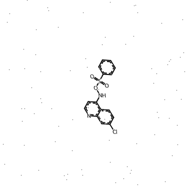 O=S(=O)(ONc1ccnc2cc(Cl)ccc12)c1ccccc1